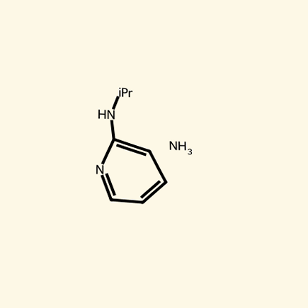 CC(C)Nc1ccccn1.N